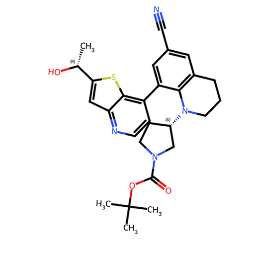 C[C@@H](O)c1cc2nccc(-c3cc(C#N)cc4c3N([C@H]3CCN(C(=O)OC(C)(C)C)C3)CCC4)c2s1